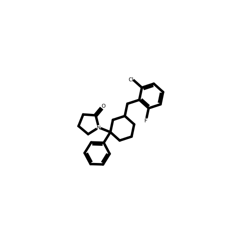 O=C1CCCN1C1(c2ccccc2)CCCC(Cc2c(F)cccc2Cl)C1